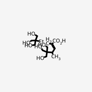 CC(=CC(C)C(CO)(CO)CO)C(=O)O.CCC(CO)(CO)CO